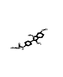 CCCCNC(=O)Nc1ccc(-c2c(N)c3ccc(OCC)cc3n2CCCC)cc1